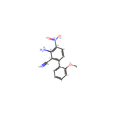 COc1ccccc1-c1ccc([N+](=O)[O-])c(N)c1C#N